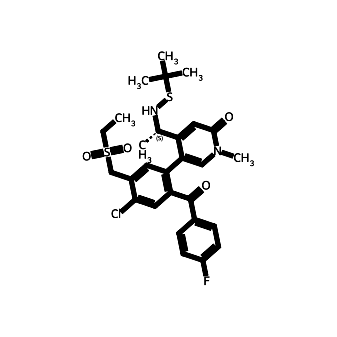 CCS(=O)(=O)Cc1cc(-c2cn(C)c(=O)cc2[C@H](C)NSC(C)(C)C)c(C(=O)c2ccc(F)cc2)cc1Cl